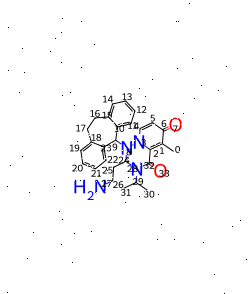 Cc1c2n(ccc1=O)N(C1c3ccccc3CCc3ccccc31)C(CCN)N(C(C)C)C2=O